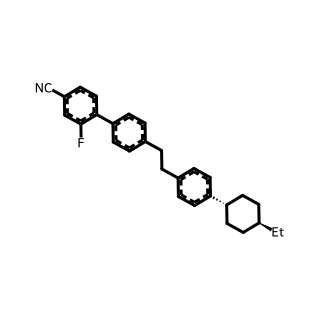 CC[C@H]1CC[C@H](c2ccc(CCc3ccc(-c4ccc(C#N)cc4F)cc3)cc2)CC1